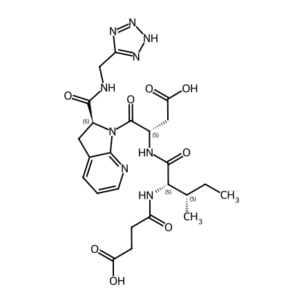 CC[C@H](C)[C@H](NC(=O)CCC(=O)O)C(=O)N[C@@H](CC(=O)O)C(=O)N1c2ncccc2C[C@H]1C(=O)NCc1nn[nH]n1